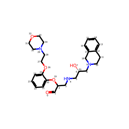 O=CC(CNC[C@H](O)CN1CCc2ccccc2C1)Oc1ccccc1OCCN1CCOCC1